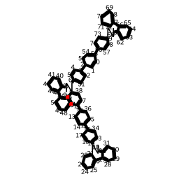 C1=CC(c2ccc(N(c3ccc(-c4ccc(-c5ccc(-n6c7ccccc7c7ccccc76)cc5)cc4)cc3)c3ccccc3-c3ccccc3)cc2)CC=C1c1ccc(-n2c3ccccc3c3ccccc32)cc1